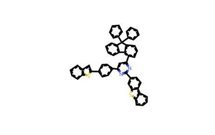 c1ccc(C2(c3ccccc3)c3ccccc3-c3c(-c4cc(-c5ccc(-c6cc7ccccc7s6)cc5)nc(-c5ccc6c(c5)sc5ccccc56)n4)cccc32)cc1